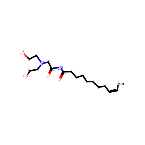 CCCCCCCC/C=C\CCCCCCCC(=O)NC(=O)CN(CCO)CCO